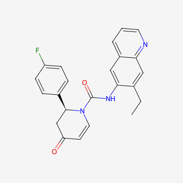 CCc1cc2ncccc2cc1NC(=O)N1C=CC(=O)C[C@H]1c1ccc(F)cc1